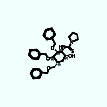 O[C@@H]1C[C@H](COCc2ccccc2)[C@@H](OCc2ccccc2)[C@H](OCc2ccccc2)[C@H]1NC(=S)N1CCCC1